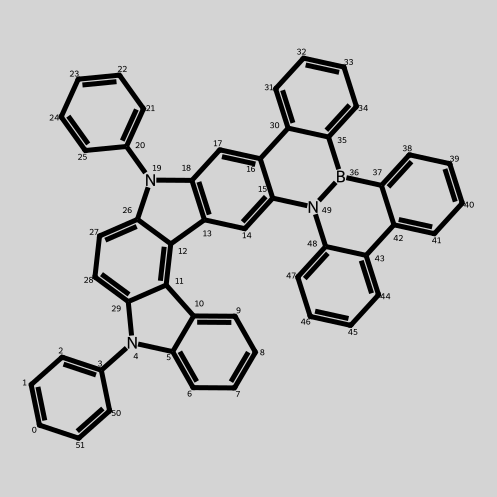 c1ccc(-n2c3ccccc3c3c4c5cc6c(cc5n(-c5ccccc5)c4ccc32)-c2ccccc2B2c3ccccc3-c3ccccc3N26)cc1